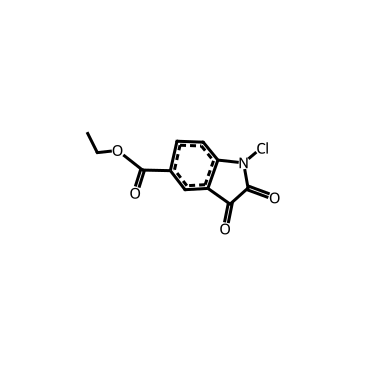 CCOC(=O)c1ccc2c(c1)C(=O)C(=O)N2Cl